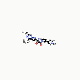 CCN1CCC(c2ccc3[n+](c2)C(=O)C(=O)C(c2cc4c(C)nc(C)cn4n2)=N3)CC1